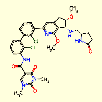 COc1nc(-c2cccc(-c3cccc(NC(=O)c4cn(C)c(=O)n(C)c4=O)c3Cl)c2Cl)cc2c1[C@@H](NC[C@@H]1CCC(=O)N1)[C@@H](OC)C2